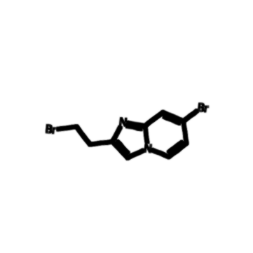 BrCCc1cn2ccc(Br)cc2n1